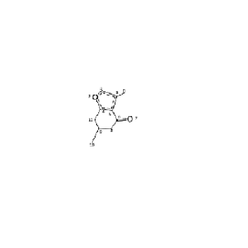 Cc1coc2c1C(=O)CC(C)C2